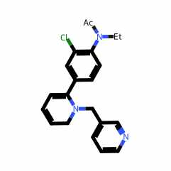 CCN(C(C)=O)c1ccc(C2=CC=CCN2Cc2cccnc2)cc1Cl